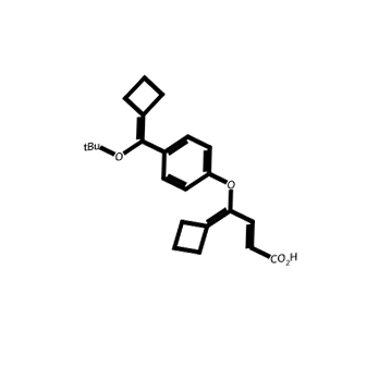 CC(C)(C)OC(=C1CCC1)c1ccc(OC(/C=C/C(=O)O)=C2CCC2)cc1